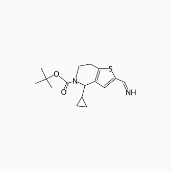 CC(C)(C)OC(=O)N1CCc2sc(C=N)cc2C1C1CC1